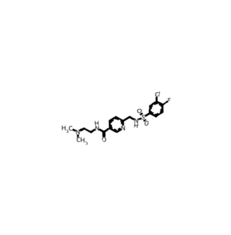 CN(C)CCNC(=O)c1ccc(CNS(=O)(=O)c2ccc(F)c(Cl)c2)nc1